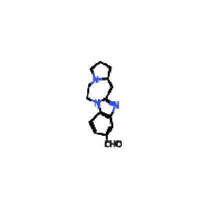 O=Cc1ccc2c(c1)nc1n2CCN2CCCC2C1